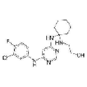 OCCNC1(Nc2cc(Nc3ccc(F)c(Cl)c3)ncn2)CCCCC1